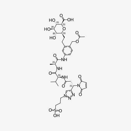 CC(=O)OCc1ccc(NC(=O)[C@H](C)NC(=O)[C@@H](NC(=O)C[C@@H](c2cn(CCCS(=O)(=O)O)nn2)N2C(=O)C=CC2=O)C(C)C)cc1CC[C@@H]1O[C@H](C(=O)O)[C@@H](O)[C@H](O)[C@H]1O